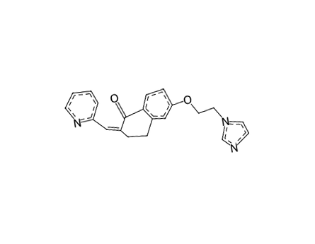 O=C1C(=Cc2ccccn2)CCc2cc(OCCn3ccnc3)ccc21